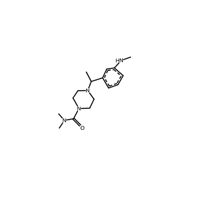 CNc1cccc(C(C)N2CCN(C(=O)N(C)C)CC2)c1